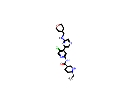 CC[C@H]1CC[C@@H](C(=O)Nc2cc(-c3cncc(NCC4CCOCC4)n3)c(Cl)cn2)CN1